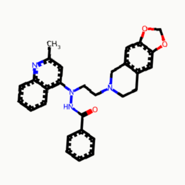 Cc1cc(N(CCN2CCc3cc4c(cc3C2)OCO4)NC(=O)c2ccccc2)c2ccccc2n1